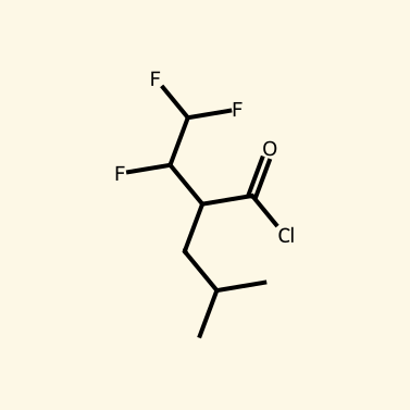 CC(C)CC(C(=O)Cl)C(F)C(F)F